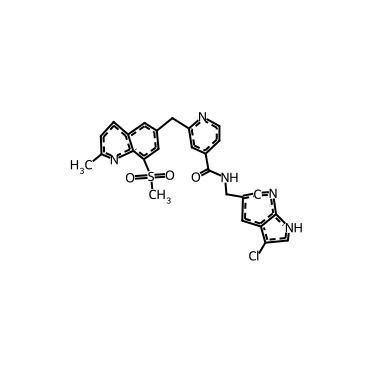 Cc1ccc2cc(Cc3cc(C(=O)NCc4cnc5[nH]cc(Cl)c5c4)ccn3)cc(S(C)(=O)=O)c2n1